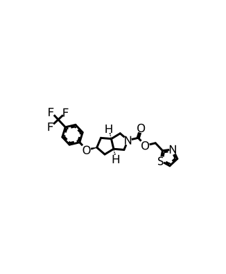 O=C(OCc1nccs1)N1C[C@H]2C[C@@H](Oc3ccc(C(F)(F)F)cc3)C[C@H]2C1